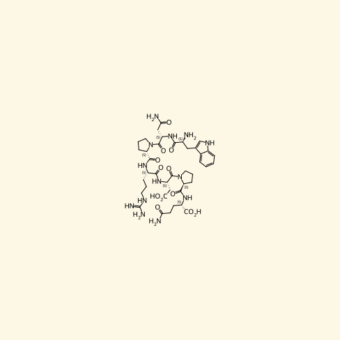 N=C(N)NCCC[C@H](NC(=O)[C@@H]1CCCN1C(=O)[C@H](CC(N)=O)NC(=O)[C@@H](N)Cc1c[nH]c2ccccc12)C(=O)N[C@@H](CC(=O)O)C(=O)N1CCC[C@H]1C(=O)N[C@@H](CCC(N)=O)C(=O)O